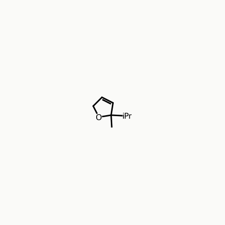 CC(C)C1(C)C=CCO1